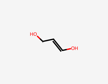 O[CH]C=CO